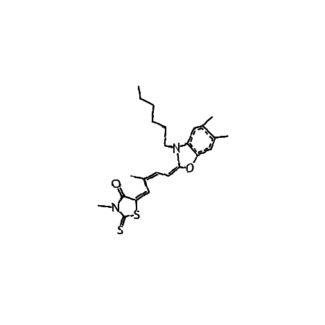 CCCCCCN1C(=C/C=C(/C)C=C2SC(=S)N(C)C2=O)Oc2cc(C)c(C)cc21